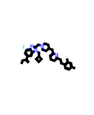 C=C(CC)c1cc(F)c2nc(CN3CCC(CC4=CCCC(CCc5ccc(C)cc5C)=N4)CC3)n(CC3CCC3)c2c1